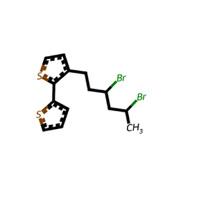 CC(Br)CC(Br)CCc1ccsc1-c1cccs1